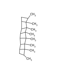 CC1CC2C3C4C5C6C7CC(C)C7(C)C6(C)C5(C)C4(C)C3(C)C12C